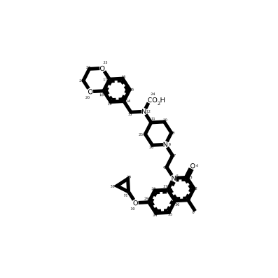 Cc1cc(=O)n(CCN2CCC(N(Cc3ccc4c(c3)OCCO4)C(=O)O)CC2)c2cc(OC3CC3)ccc12